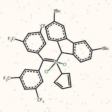 CC(C)(C)c1ccc2c(c1)-c1cc(C(C)(C)C)ccc1[CH]2[Zr]([Cl])([Cl])(=[C](c1cc(C(F)(F)F)cc(C(F)(F)F)c1)c1cc(C(F)(F)F)cc(C(F)(F)F)c1)[CH]1C=CC=C1